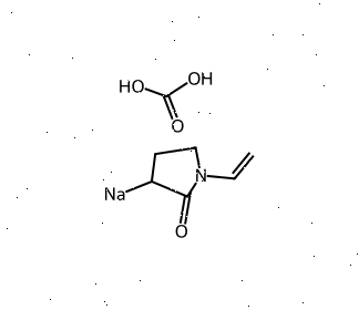 C=CN1CC[CH]([Na])C1=O.O=C(O)O